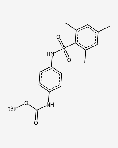 Cc1cc(C)c(S(=O)(=O)Nc2ccc(NC(=O)OC(C)(C)C)cc2)c(C)c1